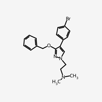 CN(C)CCn1cc(-c2ccc(Br)cc2)c(OCc2ccccc2)n1